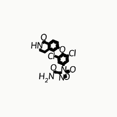 NC(=O)c1noc(=O)n1-c1cc(Cl)c(Oc2ccc3c(c2)CCNC3=O)c(Cl)c1